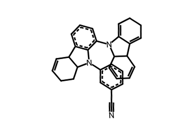 N#Cc1cccc(N2c3c(cccc3N3C4=CCCC=C4C4C=CC=CC43)C3C=CCCC32)c1